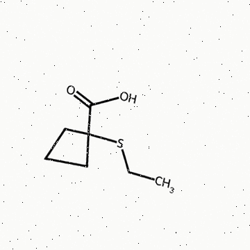 CCSC1(C(=O)O)CCC1